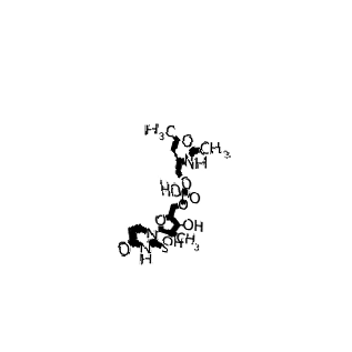 CCC[C@H](COP(=O)(O)OCC1O[C@@H](n2ccc(=O)[nH]c2=S)C(C)(O)[C@H]1O)NC(C)=O